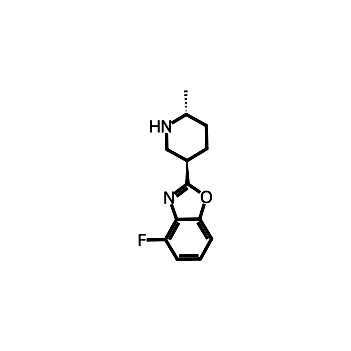 C[C@@H]1CC[C@@H](c2nc3c(F)cccc3o2)CN1